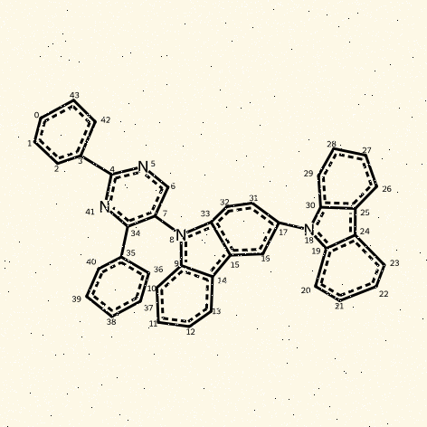 c1ccc(-c2ncc(-n3c4ccccc4c4cc(-n5c6ccccc6c6ccccc65)ccc43)c(-c3ccccc3)n2)cc1